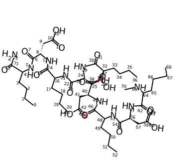 CCCCC(NC(=O)[C@H](CC(=O)O)NC(=O)C(CCCC)NC(=O)[C@H](CC(=O)O)NC(=O)C(CCCC)NC(=O)[C@H](CC(=O)O)NC(=O)C(CCCC)NC(=O)[C@H](CC(=O)O)NC(=O)C(CCCC)NC)C(N)=O